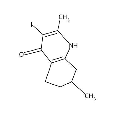 Cc1[nH]c2c(c(=O)c1I)CCC(C)C2